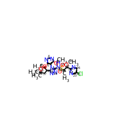 COc1ncnc(OC)c1-n1c(NS(=O)(=O)[C@@H](C)[C@H](OC)c2ncc(Cl)cn2)nnc1C1COC(C)(C)C1